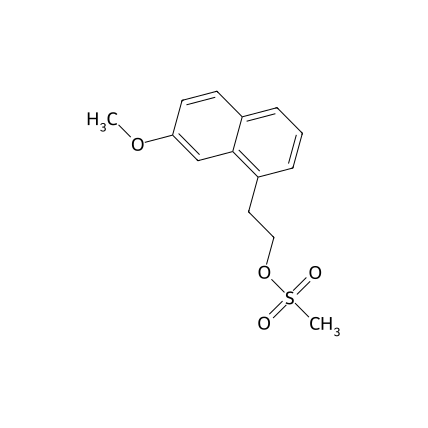 COc1ccc2cccc(CCOS(C)(=O)=O)c2c1